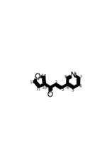 O=C(C=Cc1cccnc1)c1ccoc1